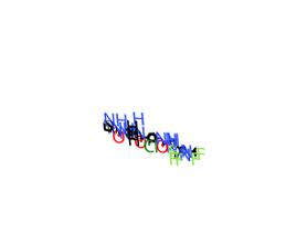 Cn1c(-c2cn(C3CC3(F)F)nc2C(F)(F)F)cnc1C(=O)Nc1ccc(C(=O)N[C@H]2[C@@H]3CN(C(=O)N[C@@H]4CCC[C@@H]4N)C[C@@H]32)c(Cl)c1